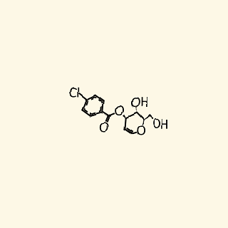 O=C(O[C@@H]1C=CO[C@H](CO)[C@H]1O)c1ccc(Cl)cc1